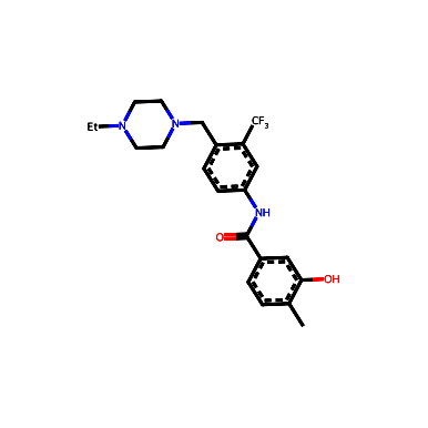 CCN1CCN(Cc2ccc(NC(=O)c3ccc(C)c(O)c3)cc2C(F)(F)F)CC1